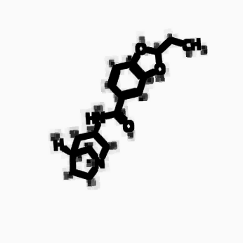 CCC1Oc2ccc(C(=O)N[C@@H]3C[C@H]4CCN(C4)C3)cc2O1